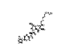 CCOC(=O)CCCCCC(=O)N[C@H](C(=O)N1C[C@H](O)C[C@H]1C(=O)N[C@@H](C)c1ccc(-c2scnc2C)cc1)C(C)(C)C